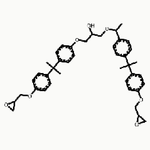 CC(OCC(O)COc1ccc(C(C)(C)c2ccc(OCC3CO3)cc2)cc1)c1ccc(C(C)(C)c2ccc(OCC3CO3)cc2)cc1